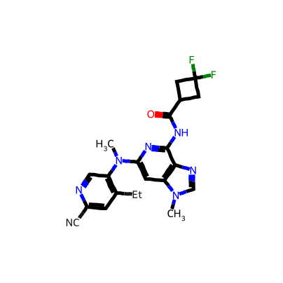 CCc1cc(C#N)ncc1N(C)c1cc2c(ncn2C)c(NC(=O)C2CC(F)(F)C2)n1